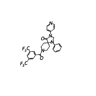 O=C(c1cc(C(F)(F)F)cc(C(F)(F)F)c1)N1CCC2(CC1)C(=O)N(c1ccncc1)CN2c1ccccc1